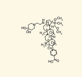 COCC(C)(OC)[C@@H]1CC[C@]2(NCCN3CCS(O)(O)CC3)CC[C@]3(C)[C@H](CC[C@@H]4[C@@]5(C)CC=C(c6ccc(C(=O)O)cc6)C(C)(C)[C@@H]5CC[C@]43C)[C@@H]12